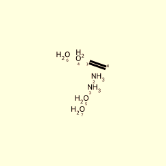 C=C.N.N.O.O.O.O